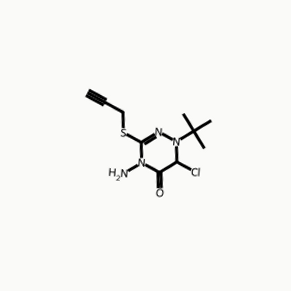 C#CCSC1=NN(C(C)(C)C)C(Cl)C(=O)N1N